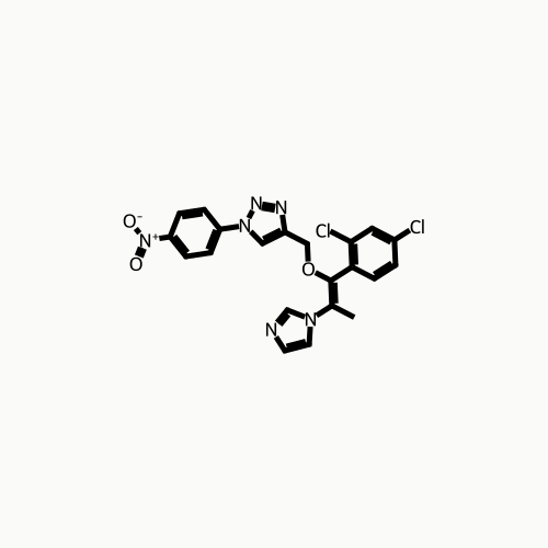 C/C(=C(/OCc1cn(-c2ccc([N+](=O)[O-])cc2)nn1)c1ccc(Cl)cc1Cl)n1ccnc1